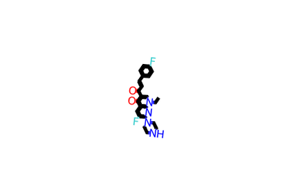 CCn1cc(C(=O)C=Cc2ccc(F)cc2)c(=O)c2cc(F)c(N3CCNCC3)nc21